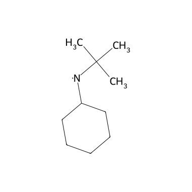 CC(C)(C)[N]C1CCCCC1